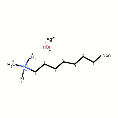 Br.CCCCCCCCCCCCCCCC[N+](C)(C)CC.[Ag+2]